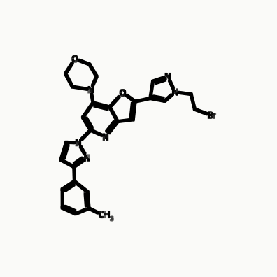 Cc1cccc(-c2ccn(-c3cc(N4CCOCC4)c4oc(-c5cnn(CCBr)c5)cc4n3)n2)c1